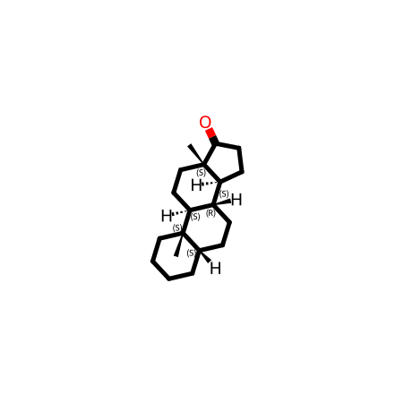 C[C@]12CCCC[C@H]1CC[C@@H]1[C@@H]2CC[C@]2(C)C(=O)CC[C@@H]12